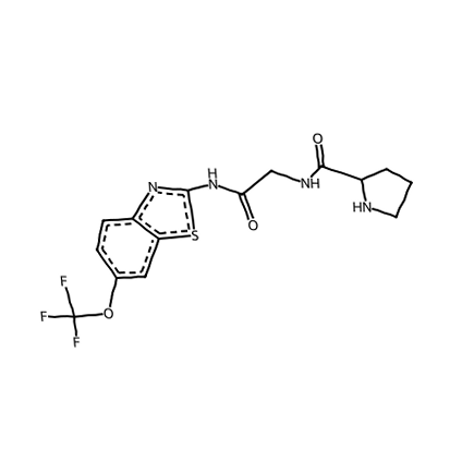 O=C(CNC(=O)C1CCCN1)Nc1nc2ccc(OC(F)(F)F)cc2s1